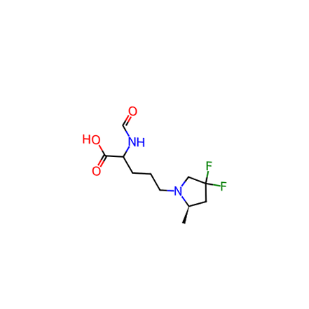 C[C@@H]1CC(F)(F)CN1CCCC(NC=O)C(=O)O